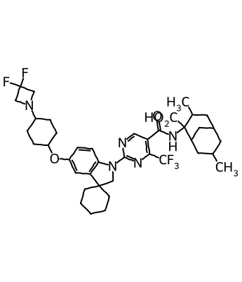 CC1CC2CC(C)C(NC(=O)c3cnc(N4CC5(CCCCC5)c5cc(OC6CCC(N7CC(F)(F)C7)CC6)ccc54)nc3C(F)(F)F)(C(=O)O)C(C1)C2